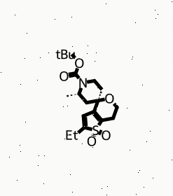 CCC1=CC2=C(CCO[C@@]23CCN(C(=O)OC(C)(C)C)[C@@H](C)C3)S1(=O)=O